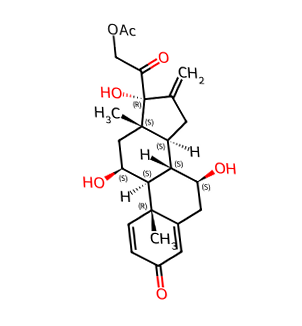 C=C1C[C@H]2[C@H]3[C@H]([C@@H](O)C[C@]2(C)[C@@]1(O)C(=O)COC(C)=O)[C@@]1(C)C=CC(=O)C=C1C[C@@H]3O